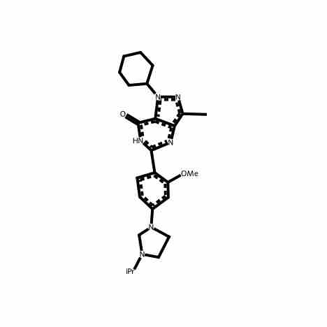 COc1cc(N2CCN(C(C)C)C2)ccc1-c1nc2c(C)nn(C3CCCCC3)c2c(=O)[nH]1